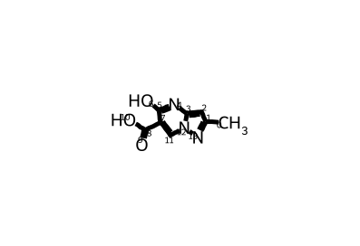 Cc1cc2nc(O)c(C(=O)O)cn2n1